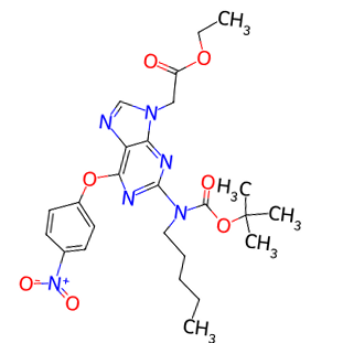 CCCCCN(C(=O)OC(C)(C)C)c1nc(Oc2ccc([N+](=O)[O-])cc2)c2ncn(CC(=O)OCC)c2n1